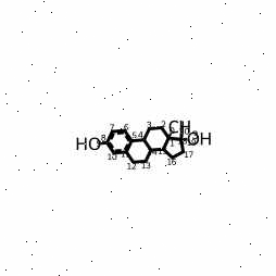 C[C@]12CCC3c4ccc(O)cc4CCC3C1CC[C@@]2(O)I